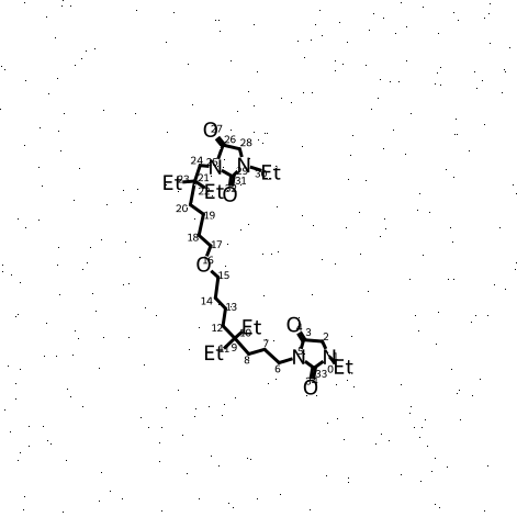 CCN1CC(=O)N(CCCC(CC)(CC)CCCCOCCCCC(CC)(CC)CN2C(=O)CN(CC)C2=O)C1=O